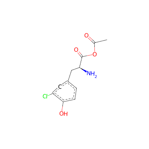 CC(=O)OC(=O)[C@@H](N)Cc1ccc(O)c(Cl)c1